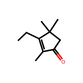 CCC1=C(C)C(=O)CC1(C)C